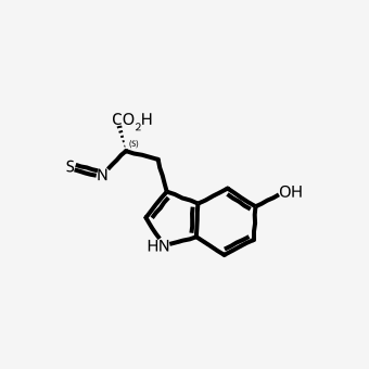 O=C(O)[C@H](Cc1c[nH]c2ccc(O)cc12)N=S